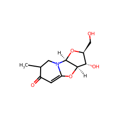 CC1CN2C(=CC1=O)O[C@@H]1[C@@H](O)[C@H](CO)O[C@@H]12